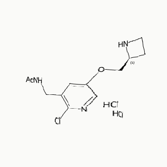 CC(=O)NCc1cc(OC[C@@H]2CCN2)cnc1Cl.Cl.Cl